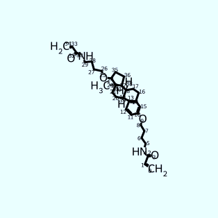 C=CC(=O)NCCCCOc1ccc2c(c1)CC[C@@H]1[C@@H]2CC[C@]2(C)C(OCCCCNC(=O)C=C)CC[C@@H]12